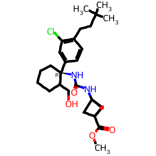 COC(=O)C12CC(NC(=O)N[C@]3(c4ccc(CCC(C)(C)C)c(Cl)c4)CCCCC3CO)(C1)C2